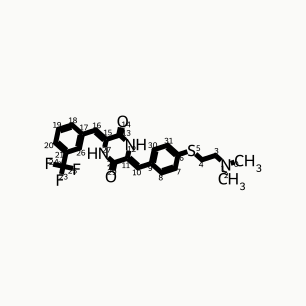 CN(C)CCSc1ccc(/C=c2\[nH]c(=O)/c(=C/c3cccc(C(F)(F)F)c3)[nH]c2=O)cc1